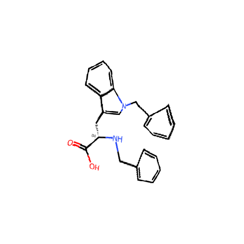 O=C(O)[C@H](Cc1cn(Cc2ccccc2)c2ccccc12)NCc1ccccc1